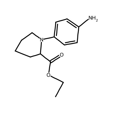 CCOC(=O)C1CCCCN1c1ccc(N)cc1